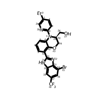 CCc1ccc(N2c3cccc(-c4nc5c(Br)cc(C(F)(F)F)cc5[nH]4)c3OC[C@@H]2CO)nc1